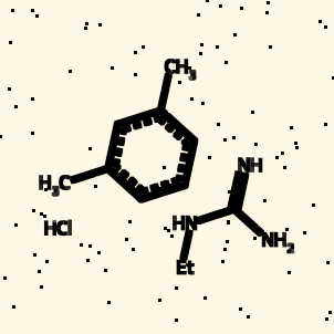 CCNC(=N)N.Cc1cccc(C)c1.Cl